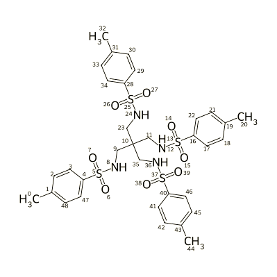 Cc1ccc(S(=O)(=O)NCC(CNS(=O)(=O)c2ccc(C)cc2)(CNS(=O)(=O)c2ccc(C)cc2)CNS(=O)(=O)c2ccc(C)cc2)cc1